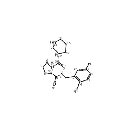 Cc1ccc(F)c(CNC(=O)[C@H]2CCCN2C(=O)[C@H]2CCCNC2)c1